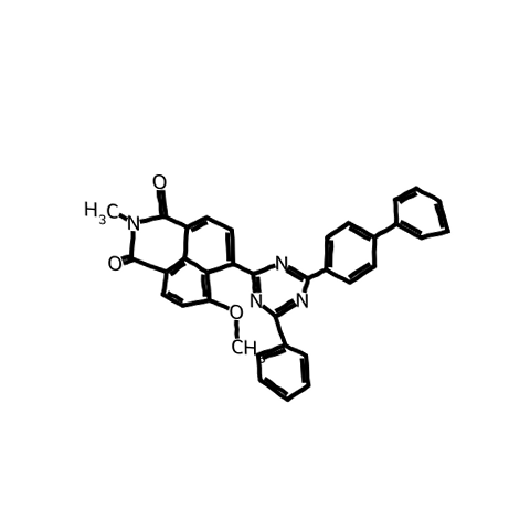 COc1ccc2c3c(ccc(-c4nc(-c5ccccc5)nc(-c5ccc(-c6ccccc6)cc5)n4)c13)C(=O)N(C)C2=O